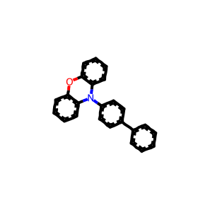 c1ccc(-c2ccc(N3c4ccccc4Oc4ccccc43)cc2)cc1